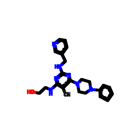 N#Cc1c(NCCO)nc(NCc2cccnc2)nc1N1CCN(c2ccccc2)CC1